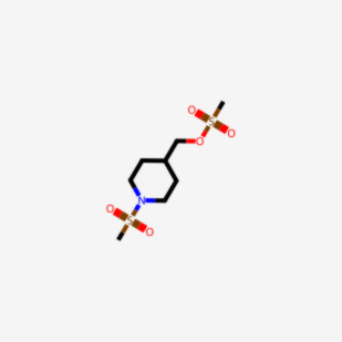 CS(=O)(=O)OCC1CCN(S(C)(=O)=O)CC1